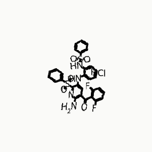 Cl.Nc1nc(S(=O)(=O)c2ccccc2)c(Nc2ccccc2NS(=O)(=O)c2ccccc2)cc1C(=O)c1c(F)cccc1F